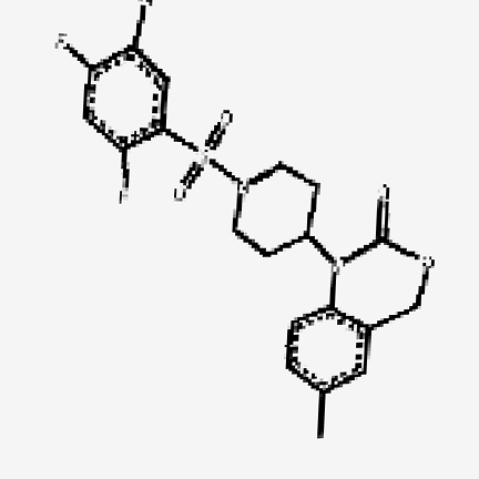 Cc1ccc2c(c1)COC(=O)N2C1CCN(S(=O)(=O)c2cc(Br)c(F)cc2F)CC1